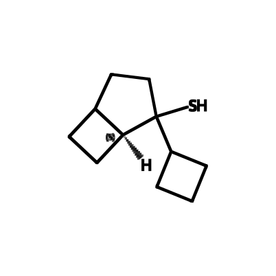 SC1(C2CCC2)CCC2CC[C@@H]21